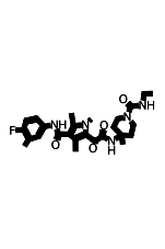 CCNC(=O)N1CCC(C)(NC(=O)C(=O)c2c(C)c(C(=O)Nc3ccc(F)c(C)c3)c(C)n2C)CC1